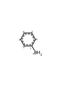 Bc1[c]cccc1